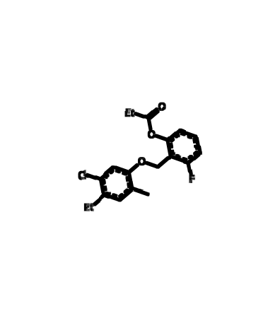 CCC(=O)Oc1cccc(F)c1COc1cc(Cl)c(CC)cc1C